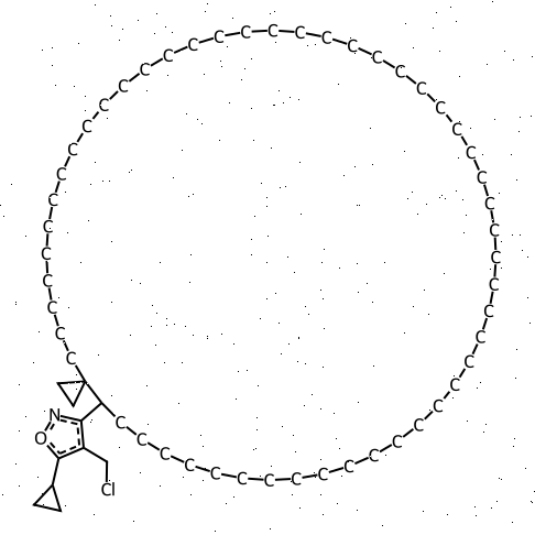 ClCc1c(C2CCCCCCCCCCCCCCCCCCCCCCCCCCCCCCCCCCCCCCCCCCCCCCCCCCC23CC3)noc1C1CC1